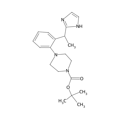 CC(c1ncc[nH]1)c1ccccc1N1CCN(C(=O)OC(C)(C)C)CC1